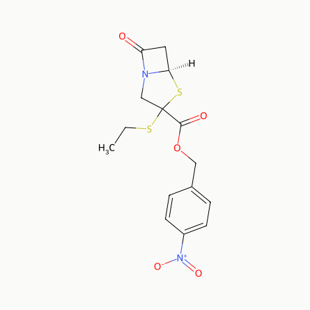 CCSC1(C(=O)OCc2ccc([N+](=O)[O-])cc2)CN2C(=O)C[C@H]2S1